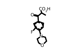 CC(C(=O)O)C(=O)c1ccc(N2CCOCC2)c(F)c1